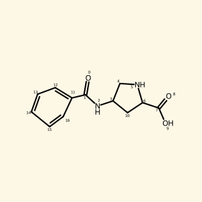 O=C(NC1CNC(C(=O)O)C1)c1ccccc1